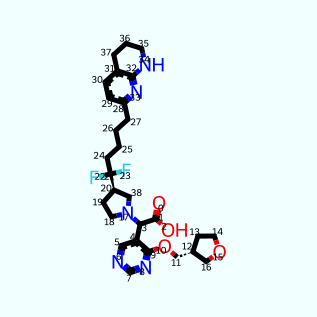 O=C(O)C(c1cncnc1OC[C@@H]1CCOC1)N1CC[C@@H](C(F)(F)CCCCc2ccc3c(n2)NCCC3)C1